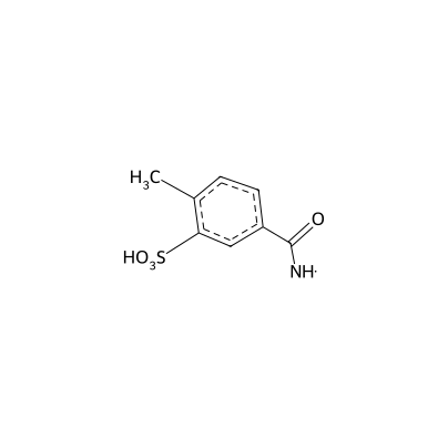 Cc1ccc(C([NH])=O)cc1S(=O)(=O)O